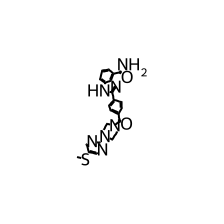 CSc1cnc(N2CCN(C(=O)c3ccc(-c4nc5c(C(N)=O)cccc5[nH]4)cc3)CC2)nc1